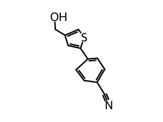 N#Cc1ccc(-c2cc(CO)cs2)cc1